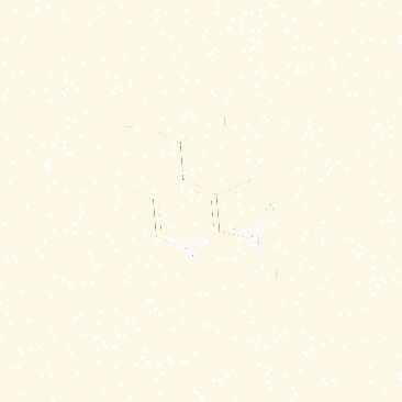 CC(C)c1c(Cl)cnc2c1ccn2C